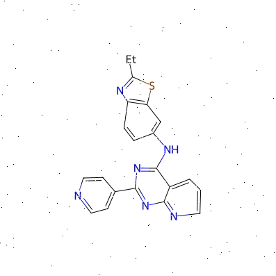 CCc1nc2ccc(Nc3nc(-c4ccncc4)nc4ncccc34)cc2s1